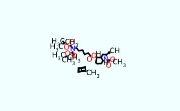 C#CC1C[C@H]2[C@@H](OC(=O)CCCCCN(C(=O)OC(C)(C)C)C(=O)OC(C)(C)C)CCC[C@H]2N1C(=O)OC.Cc1cc2ccc1-2